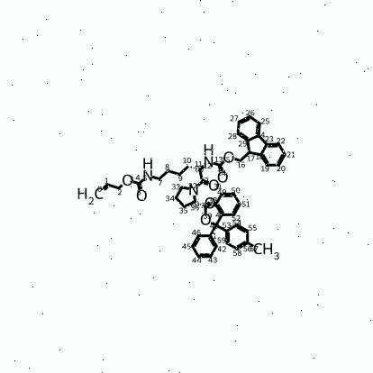 C=CCOC(=O)NCCCC[C@H](NC(=O)OCC1c2ccccc2-c2ccccc21)C(=O)N1CCC[C@H]1C(=O)OC(c1ccccc1)(c1ccccc1)c1ccc(C)cc1